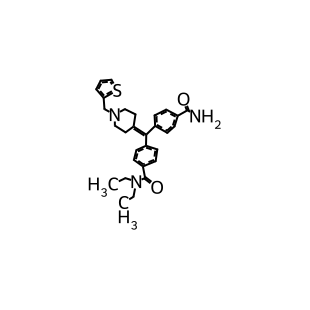 CCN(CC)C(=O)c1ccc(C(=C2CCN(Cc3cccs3)CC2)c2ccc(C(N)=O)cc2)cc1